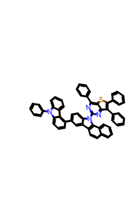 c1ccc(-c2sc3c(-c4ccccc4)nc(-n4c5ccc(-c6cccc7c6c6ccccc6n7-c6ccccc6)cc5c5ccc6ccccc6c54)nc3c2-c2ccccc2)cc1